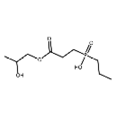 CCCP(=O)(O)CCC(=O)OCC(C)O